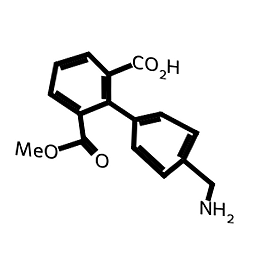 COC(=O)c1cccc(C(=O)O)c1-c1ccc(CN)cc1